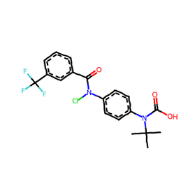 CC(C)(C)N(C(=O)O)c1ccc(N(Cl)C(=O)c2cccc(C(F)(F)F)c2)cc1